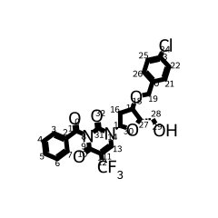 O=C(c1ccccc1)n1c(=O)c(C(F)(F)F)cn([C@@H]2CC(OCc3ccc(Cl)cc3)[C@H](CO)O2)c1=O